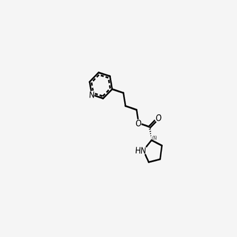 O=C(OCCCc1cccnc1)[C@@H]1CCCN1